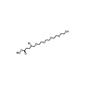 CC(C)(C)OC(=O)CCC(Br)COCCOCCOCCOCCO